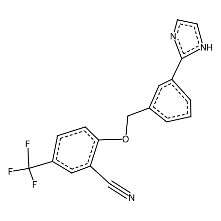 N#Cc1cc(C(F)(F)F)ccc1OCc1cccc(-c2ncc[nH]2)c1